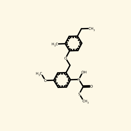 CCc1ccc(OCc2cc(OC)ccc2N(O)C(=O)SC)c(C)c1